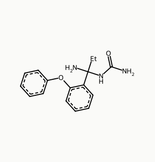 CCC(N)(NC(N)=O)c1ccccc1Oc1ccccc1